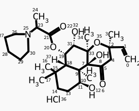 C=C[C@@]1(C)CC(=O)[C@]2(O)[C@@]3(C)[C@@H](O)CCC(C)(C)[C@@H]3[C@H](OC(=O)C(C)N3CCCCC3)[C@H](O)[C@@]2(C)O1.Cl